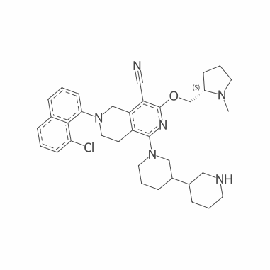 CN1CCC[C@H]1COc1nc(N2CCCC(C3CCCNC3)C2)c2c(c1C#N)CN(c1cccc3cccc(Cl)c13)CC2